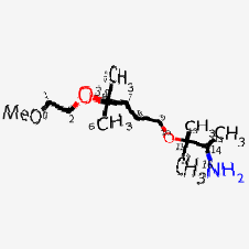 COCCOC(C)(C)CCCOC(C)(C)C(C)N